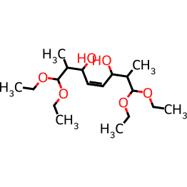 CCOC(OCC)C(C)C(O)/C=C\C(O)C(C)C(OCC)OCC